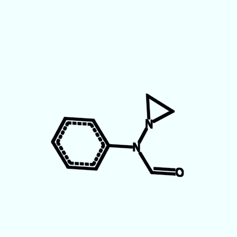 O=CN(c1ccccc1)N1CC1